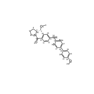 COC[C@H]1CCCN1C(=O)c1ccc(Nc2ncc(-c3ccc(OC)cc3)cn2)cc1